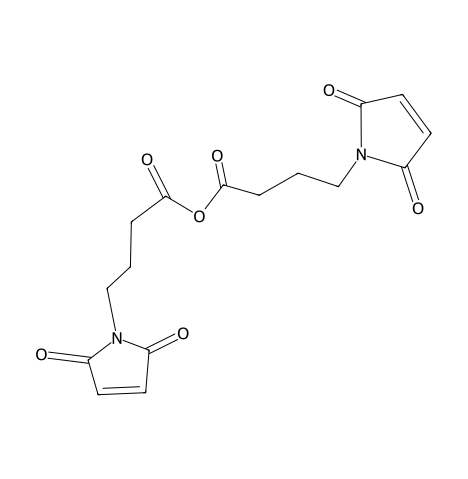 O=C(CCCN1C(=O)C=CC1=O)OC(=O)CCCN1C(=O)C=CC1=O